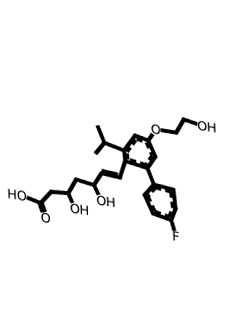 CC(C)c1cc(OCCO)cc(-c2ccc(F)cc2)c1C=CC(O)CC(O)CC(=O)O